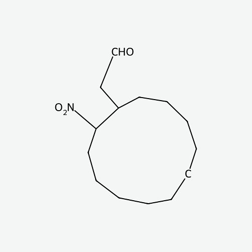 O=CCC1CCCCCCCCCCC1[N+](=O)[O-]